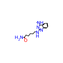 CNc1nc(NCCCCCC(N)=O)nc2ccccc12